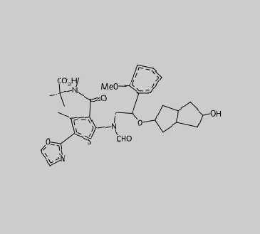 COc1ccccc1C(CN(C=O)c1sc(-c2ncco2)c(C)c1C(=O)N(C)C(C)(C)C(=O)O)OC1CC2CC(O)CC2C1